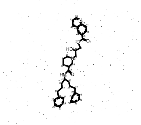 O=C(OCC(O)CN1CCCC(C(=O)NC(CCCc2ccccc2)CCCc2ccccc2)C1)c1ccc2ncccc2c1